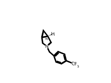 FC(F)(F)c1ccc(CN2CC3C[C@H]3C2)cc1